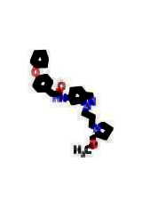 COC[C@@H]1CCCN1CCCn1ncc2ccc(NC(=O)Cc3ccc(Oc4ccccc4)cc3)cc21